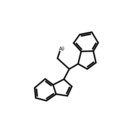 [Al][CH2]C(C1C=Cc2ccccc21)C1C=Cc2ccccc21